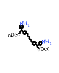 CCCCCCCCCCCCC(c1ccc(N)cc1)c1ccc(CCCCCCc2ccc(C(CCCCCCCCCCCC)c3ccc(N)cc3)cc2)cc1